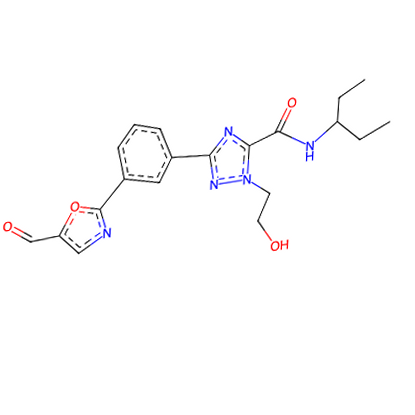 CCC(CC)NC(=O)c1nc(-c2cccc(-c3ncc(C=O)o3)c2)nn1CCO